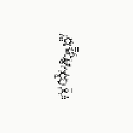 O=C1NC(c2cccc(OC(F)(F)F)c2)=NC12CCN(S(=O)(=O)/C=C/c1cc(F)c(OCCC(O)CO)c(F)c1)CC2